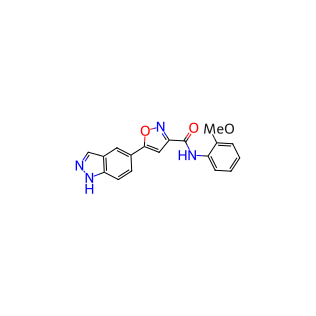 COc1ccccc1NC(=O)c1cc(-c2ccc3[nH]ncc3c2)on1